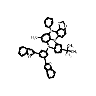 Cc1cc2c3c(c1)N(c1ccccc1)c1c(ccc4c1OCO4)B3c1cc(C(C)(C)C)ccc1N2c1cc(-c2cc3ccccc3o2)cc(-c2cc3ccccc3o2)c1